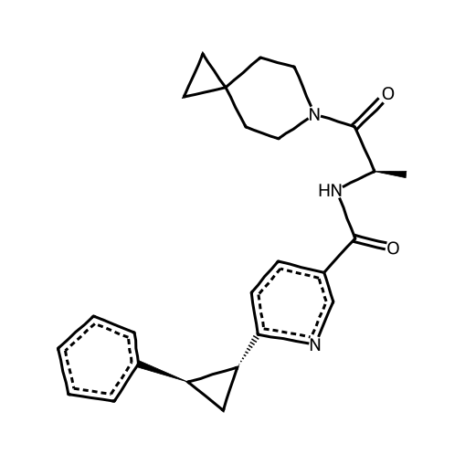 C[C@@H](NC(=O)c1ccc([C@@H]2C[C@H]2c2ccccc2)nc1)C(=O)N1CCC2(CC1)CC2